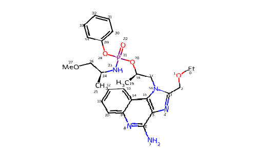 CCOCc1nc2c(N)nc3ccccc3c2n1C[C@@H](C)OP(=O)(N[C@@H](C)COC)Oc1ccccc1